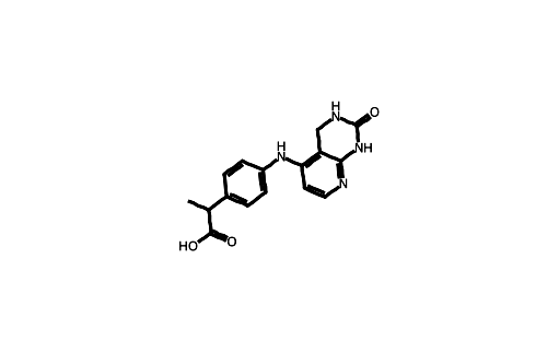 CC(C(=O)O)c1ccc(Nc2ccnc3c2CNC(=O)N3)cc1